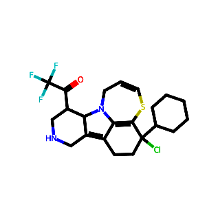 O=C(C1CNCC2=C3CCC(Cl)(C4CCCCC4)C4=C3N(CC=CS4)C21)C(F)(F)F